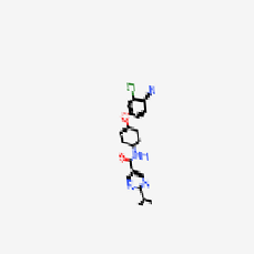 CC(C)c1ncc(C(=O)N[C@H]2CC[C@H](Oc3ccc(C#N)c(Cl)c3)CC2)cn1